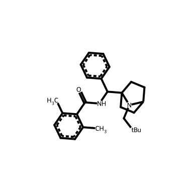 Cc1cccc(C)c1C(=O)NC(c1ccccc1)C12CCC(CC1)N2CC(C)(C)C